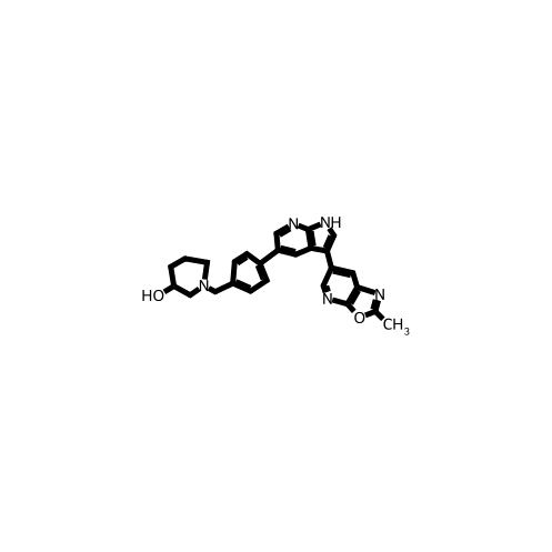 Cc1nc2cc(-c3c[nH]c4ncc(-c5ccc(CN6CCCC(O)C6)cc5)cc34)cnc2o1